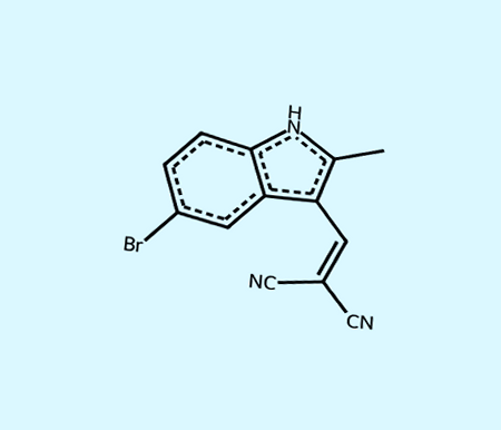 Cc1[nH]c2ccc(Br)cc2c1C=C(C#N)C#N